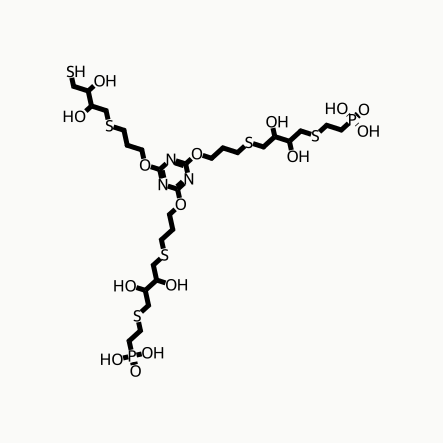 O=P(O)(O)CCSCC(O)C(O)CSCCCOc1nc(OCCCSCC(O)C(O)CS)nc(OCCCSCC(O)C(O)CSCCP(=O)(O)O)n1